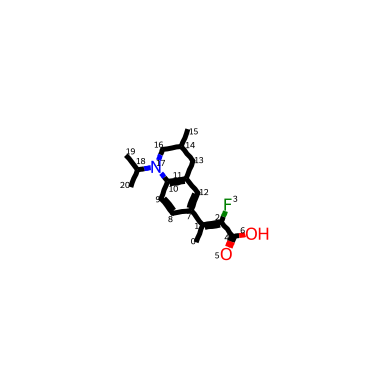 CC(=C(F)C(=O)O)c1ccc2c(c1)CC(C)CN2C(C)C